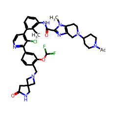 CC(=O)N1CCC(N2CCc3c(nc(C(=O)Nc4cccc(-c5ccnc(-c6ccc(CN7CC8(CNC(=O)C8)C7)c(OC(F)F)c6)c5Cl)c4C)n3C)C2)CC1